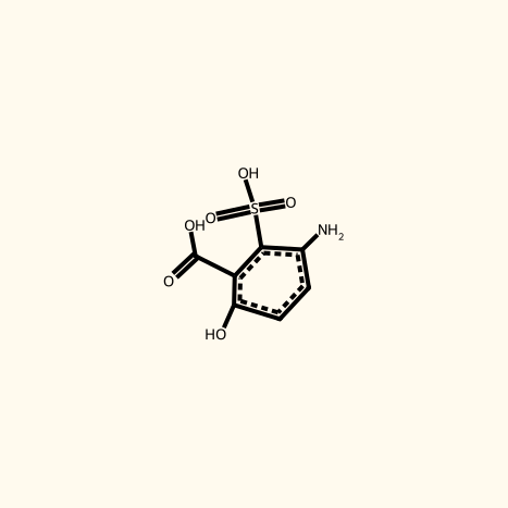 Nc1ccc(O)c(C(=O)O)c1S(=O)(=O)O